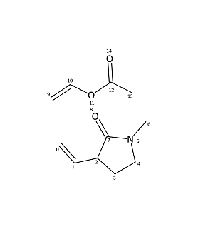 C=CC1CCN(C)C1=O.C=COC(C)=O